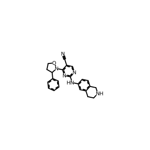 N#Cc1cnc(Nc2ccc3c(c2)CCNC3)nc1N1OCCC1c1ccccc1